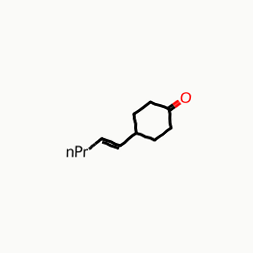 CCCC=CC1CCC(=O)CC1